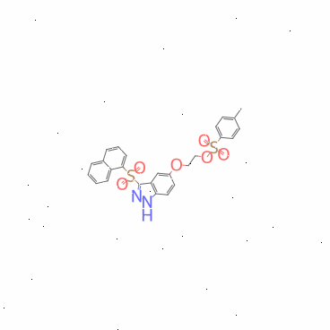 Cc1ccc(S(=O)(=O)OCCOc2ccc3[nH]nc(S(=O)(=O)c4cccc5ccccc45)c3c2)cc1